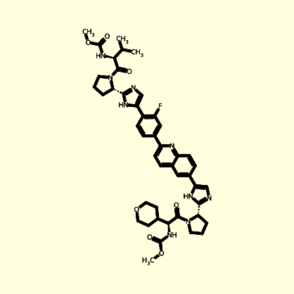 COC(=O)N[C@H](C(=O)N1CCC[C@H]1c1ncc(-c2ccc(-c3ccc4cc(-c5cnc([C@@H]6CCCN6C(=O)[C@@H](NC(=O)OC)C6CCOCC6)[nH]5)ccc4n3)cc2F)[nH]1)C(C)C